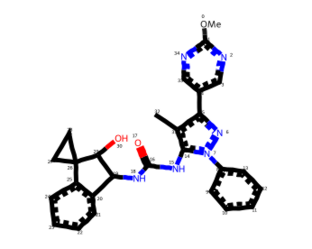 COc1ncc(-c2nn(-c3ccccc3)c(NC(=O)NC3c4ccccc4C4(CC4)C3O)c2C)cn1